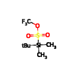 CC(C)(C)[Si](C)(C)S(=O)(=O)OC(F)(F)F